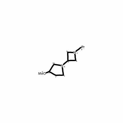 COC1CCN(C2CN(C(C)C)C2)C1